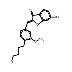 CCCCOc1ccc(/C=C2\Oc3cc(O)ccc3C2=O)cc1OC